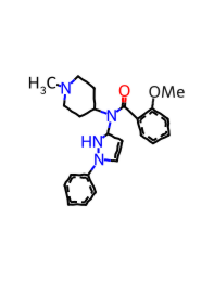 COc1ccccc1C(=O)N(C1CCN(C)CC1)C1C=CN(c2ccccc2)N1